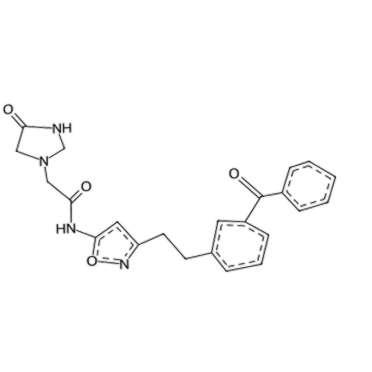 O=C1CN(CC(=O)Nc2cc(CCc3cccc(C(=O)c4ccccc4)c3)no2)CN1